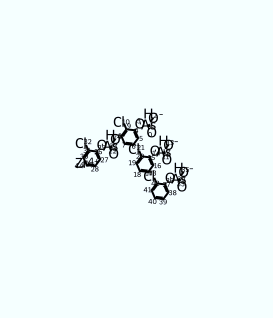 O=[AsH]([O-])Oc1ccccc1Cl.O=[AsH]([O-])Oc1ccccc1Cl.O=[AsH]([O-])Oc1ccccc1Cl.O=[AsH]([O-])Oc1ccccc1Cl.[Zr+4]